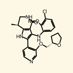 COc1c(Cl)cccc1Nc1c(-c2ccncc2OC[C@@H]2CCCO2)[nH]c2c1C(=O)NC[C@@H]2C